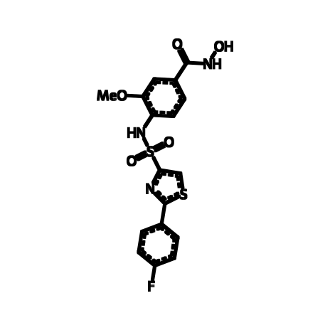 COc1cc(C(=O)NO)ccc1NS(=O)(=O)c1csc(-c2ccc(F)cc2)n1